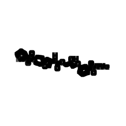 CNS(=O)(=O)c1cccc(OCC(O)COC(=O)N[C@H]2COC3(CCN(S(=O)(=O)c4cccnc4)CC3)C2)c1